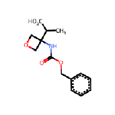 CC(C(=O)O)C1(NC(=O)OCc2ccccc2)COC1